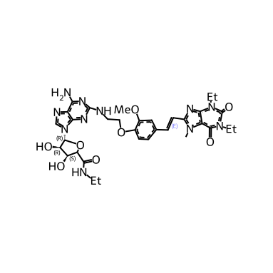 CCNC(=O)C1O[C@@H](n2cnc3c(N)nc(NCCOc4ccc(/C=C/c5nc6c(c(=O)n(CC)c(=O)n6CC)n5C)cc4OC)nc32)[C@H](O)[C@@H]1O